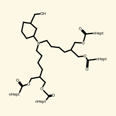 CCCCCCCC(=O)OCC(CCCCN(CCCCC(COC(=O)CCCCCCC)COC(=O)CCCCCCC)C1CCCC(CO)C1)COC(=O)CCCCCCC